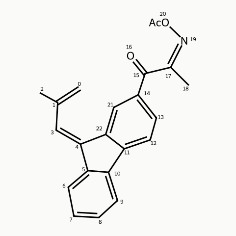 C=C(C)/C=C1/c2ccccc2-c2ccc(C(=O)/C(C)=N\OC(C)=O)cc21